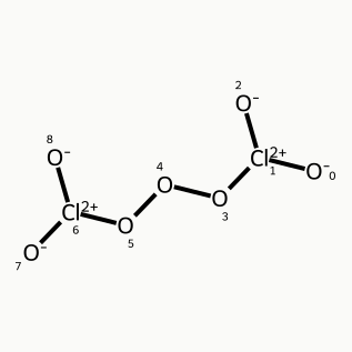 [O-][Cl+2]([O-])OOO[Cl+2]([O-])[O-]